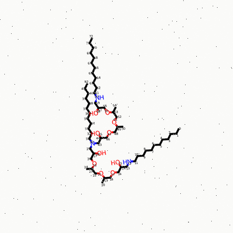 CCCCCCCCCCCCNCC(O)COCC(C)OCC(C)OCC(O)CN(CCCCCCCCCCCC)CC(O)COCC(C)OCC(C)OCC(O)CNCCCCCCCCCCCC